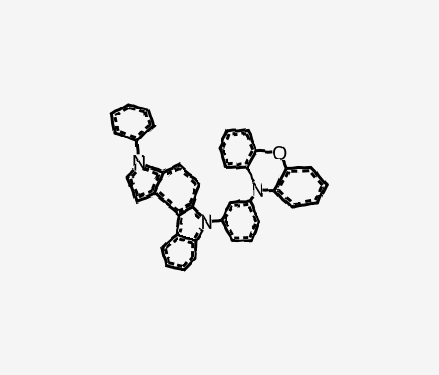 c1ccc(-n2ccc3c4c5ccccc5n(-c5cccc(N6c7ccccc7Oc7ccccc76)c5)c4ccc32)cc1